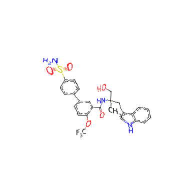 CC(CO)(Cc1c[nH]c2ccccc12)NC(=O)c1cc(-c2ccc(S(N)(=O)=O)cc2)ccc1OC(F)(F)F